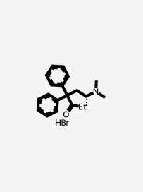 Br.CCC(=O)C(C[C@@H](C)N(C)C)(c1ccccc1)c1ccccc1